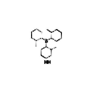 CC1CCCCC1B(C1CCCCC1C)C1CCCCC1C.[HH]